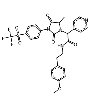 COc1ccc(CCNC(=O)C(c2ccncc2)N2C(=O)N(c3ccc(S(=O)(=O)C(F)(F)F)cc3)C(=O)C2C)cc1